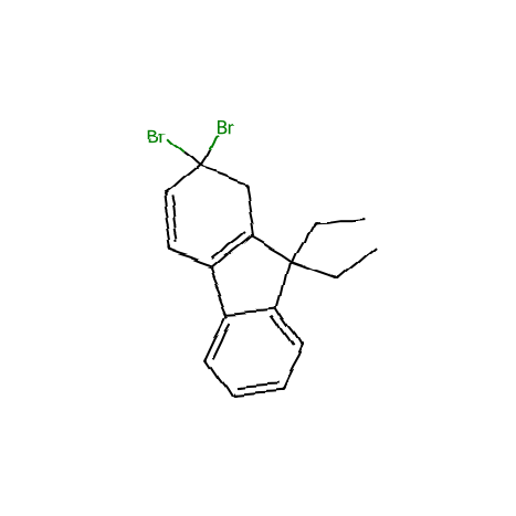 CCC1(CC)C2=C(C=CC(Br)(Br)C2)c2ccccc21